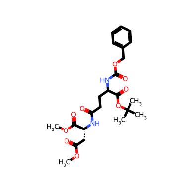 COC(=O)C[C@@H](NC(=O)CCC(NC(=O)OCc1ccccc1)C(=O)OC(C)(C)C)C(=O)OC